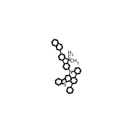 CC1(C)c2cc(-c3ccc4ccccc4c3)ccc2-c2ccc(N(c3ccc4sc5ccccc5c4c3)c3ccccc3-c3ccc(-c4ccccc4)cc3)cc21